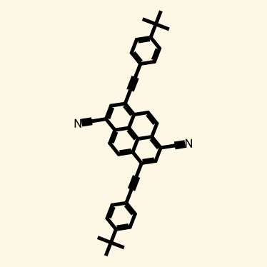 CC(C)(C)c1ccc(C#Cc2cc(C#N)c3ccc4c(C#Cc5ccc(C(C)(C)C)cc5)cc(C#N)c5ccc2c3c54)cc1